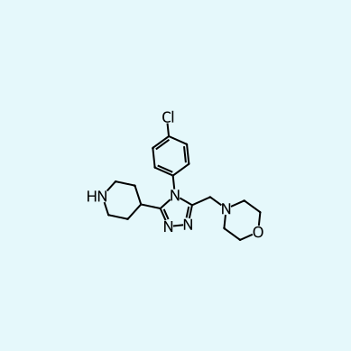 Clc1ccc(-n2c(CN3CCOCC3)nnc2C2CCNCC2)cc1